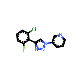 Fc1cccc(Cl)c1-c1cn(-c2cccnc2)nn1